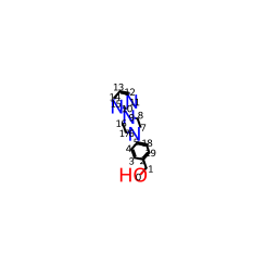 OCc1ccc(N2CCN(c3ncccn3)CC2)cc1